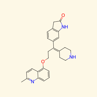 Cc1ccc2c(OCCC(=C3CCNCC3)c3ccc4c(c3)NC(=O)C4)cccc2n1